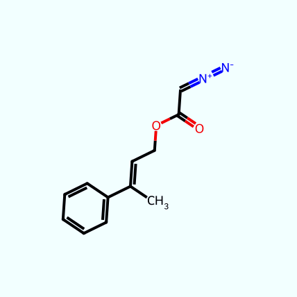 CC(=CCOC(=O)C=[N+]=[N-])c1ccccc1